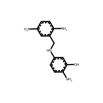 Nc1ccc(N)c(CNc2ccc(N)c(O)c2)c1